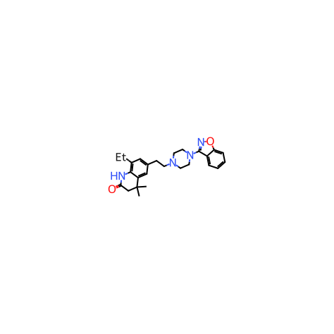 CCc1cc(CCN2CCN(c3noc4ccccc34)CC2)cc2c1NC(=O)CC2(C)C